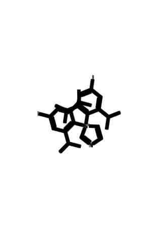 CC(C)c1cc(I)cc(C(C)C)c1[N+]1(c2c(C(C)C)cc(I)cc2C(C)C)C=CN=C1